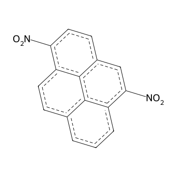 O=[N+]([O-])c1cc2ccc([N+](=O)[O-])c3ccc4cccc1c4c23